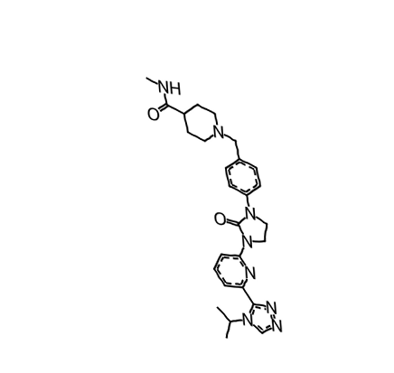 CNC(=O)C1CCN(Cc2ccc(N3CCN(c4cccc(-c5nncn5C(C)C)n4)C3=O)cc2)CC1